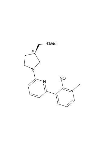 COC[C@@H]1CCN(c2cccc(-c3cccc(C)c3N=O)n2)C1